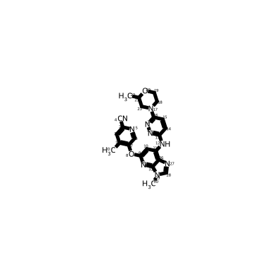 Cc1cc(C#N)ncc1Oc1cc(Nc2ccc(N3CCOC(C)C3)nn2)c2ncn(C)c2n1